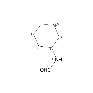 O=CNC1CCC[N]C1